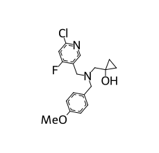 COc1ccc(CN(Cc2cnc(Cl)cc2F)CC2(O)CC2)cc1